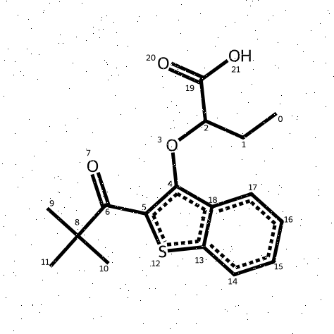 CCC(Oc1c(C(=O)C(C)(C)C)sc2ccccc12)C(=O)O